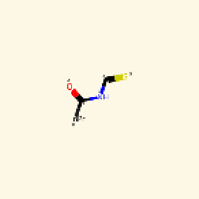 CCCC(=O)N[C]=S